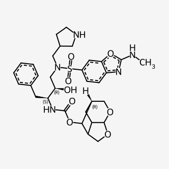 CNc1nc2ccc(S(=O)(=O)N(CC3CCNC3)C[C@@H](O)[C@H](Cc3ccccc3)NC(=O)OC3C4COC5OC[C@H]3CC54)cc2o1